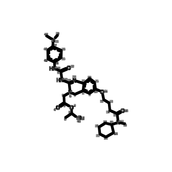 CC(OC(=O)CN1Cc2cc(OCCCC(=O)N(C)C3CCCCC3)ccc2N=C1NC(=O)Nc1ccc(N(C)C)cc1)C(C)(C)C